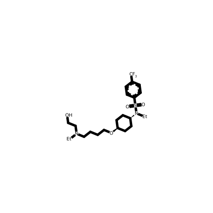 CCN(CCO)CCCCO[C@H]1CC[C@H](N(CC)S(=O)(=O)c2ccc(C(F)(F)F)cc2)CC1